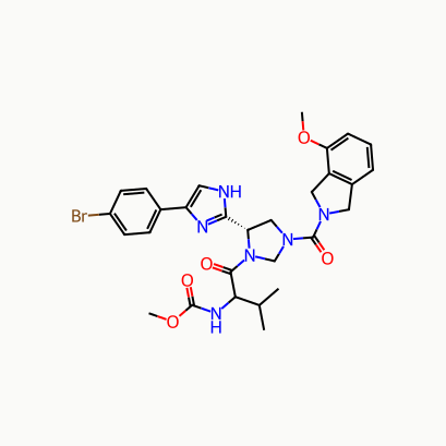 COC(=O)NC(C(=O)N1CN(C(=O)N2Cc3cccc(OC)c3C2)C[C@H]1c1nc(-c2ccc(Br)cc2)c[nH]1)C(C)C